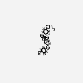 Cc1ccc(S(=O)(=O)ON2CCC(Oc3ccc(F)cc3)C2)cc1